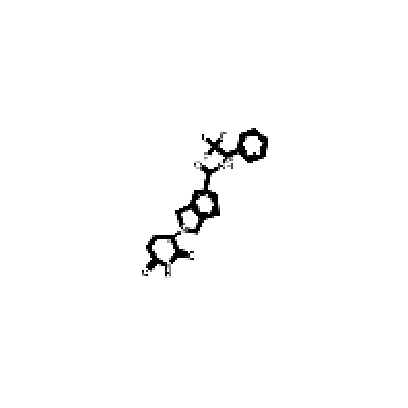 O=C1CC[C@@H](N2Cc3ccc(C(=O)N[C@H](c4ccccc4)C(F)(F)F)cc3C2)C(=O)N1